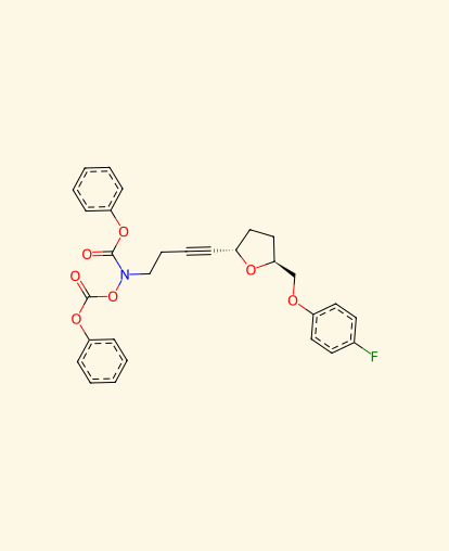 O=C(Oc1ccccc1)ON(CCC#C[C@@H]1CC[C@@H](COc2ccc(F)cc2)O1)C(=O)Oc1ccccc1